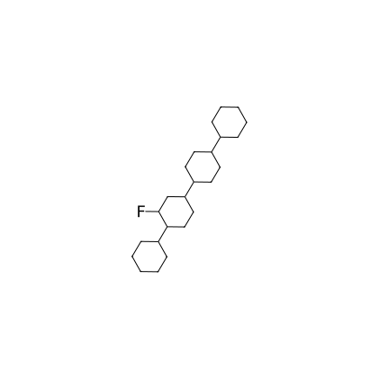 FC1CC(C2CCC(C3CCCCC3)CC2)CCC1C1CCCCC1